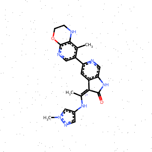 C/C(Nc1cnn(C)c1)=C1/C(=O)Nc2cnc(-c3cnc4c(c3C)NCCO4)cc21